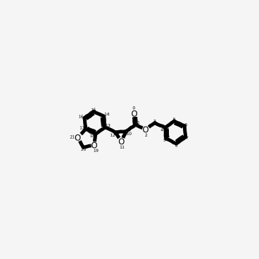 O=C(OCc1ccccc1)C1OC1c1cccc2c1OCO2